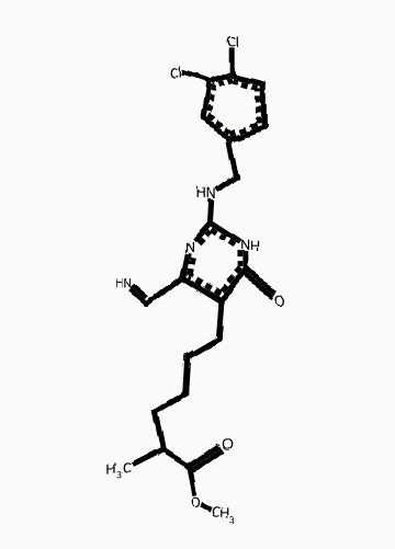 COC(=O)C(C)CCCCc1c(C=N)nc(NCc2ccc(Cl)c(Cl)c2)[nH]c1=O